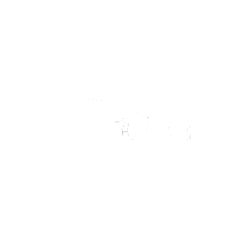 Cc1cccc([SiH2]CC(C)(C)C2=CC=CC2)c1C